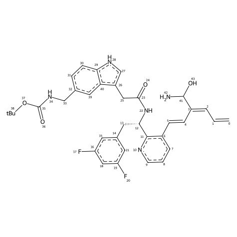 C=C/C=C(\C=C\c1cccnc1[C@H](Cc1cc(F)cc(F)c1)NC(=O)Cc1c[nH]c2ccc(CNC(=O)OC(C)(C)C)cc12)C(N)O